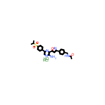 CC(=O)NCc1ccc(-c2cc(-c3nc(-c4ccc(S(=O)(=O)C(C)C)cc4)cnc3N)on2)cc1.Cl.Cl